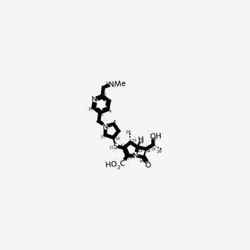 CNCc1ccc(CN2CC[C@@H](SC3=C(C(=O)O)N4C(=O)[C@H]([C@@H](C)O)[C@H]4[C@H]3C)C2)cn1